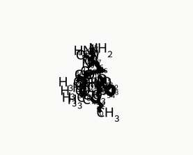 CCCC(CCC)COC(=O)[C@H](C)N[P@](=O)(OC[C@@]1(COC(=O)C(NC(=O)OC(C)(C)C)C(C)C)C/C1=C/n1cnc2c(=O)[nH]c(N)nc21)Oc1ccccc1